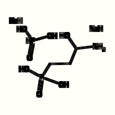 NC(O)CCP(=O)(O)O.O=[PH](O)O.[NaH].[NaH]